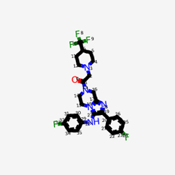 O=C(CN1CCC(C(F)(F)F)CC1)N1CCn2c(nc(-c3ccc(F)cc3)c2Nc2ccc(F)cc2)C1